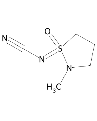 CN1CCCS1(=O)=NC#N